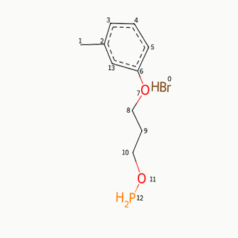 Br.Cc1cccc(OCCCOP)c1